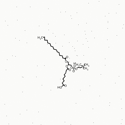 CCCCCCCCCCCCCCCC(=O)OCC(COP(=O)(O)OCC[N+](C)(C)C)OC(=O)CCCCCCCC(=O)O